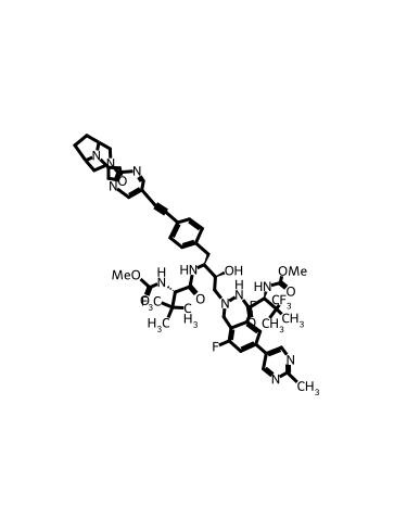 COC(=O)N[C@H](C(=O)N[C@@H](Cc1ccc(C#Cc2cnc(N3CC4CCC(C3)N4C3COC3)nc2)cc1)[C@@H](O)CN(Cc1c(F)cc(-c2cnc(C)nc2)cc1F)NC(=O)[C@@H](NC(=O)OC)C(C)(C)C(F)(F)F)C(C)(C)C(F)(F)F